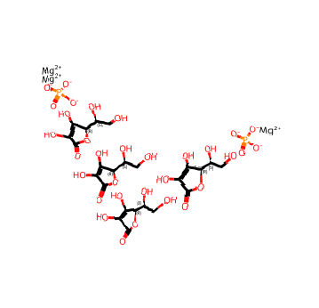 O=C1O[C@H]([C@@H](O)CO)C(O)=C1O.O=C1O[C@H]([C@@H](O)CO)C(O)=C1O.O=C1O[C@H]([C@@H](O)CO)C(O)=C1O.O=C1O[C@H]([C@@H](O)CO)C(O)=C1O.O=P([O-])([O-])[O-].O=P([O-])([O-])[O-].[Mg+2].[Mg+2].[Mg+2]